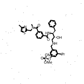 COP(=O)(OC)Oc1cc(CNC[C@@H](O)[C@H](Cc2ccccc2)NC(=O)c2cccc(C(=O)N(C)Cc3nc(C)cs3)c2)cc(C(C)C)c1